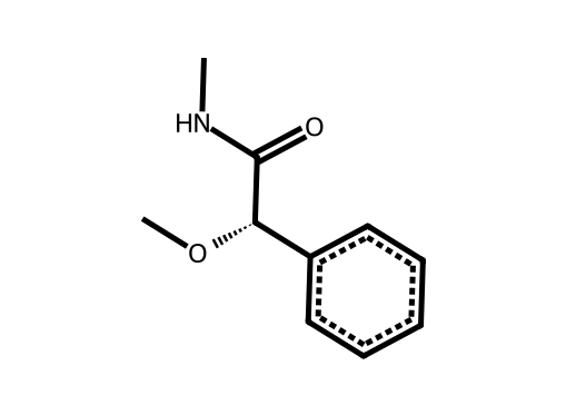 CNC(=O)[C@@H](OC)c1ccccc1